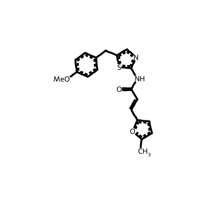 COc1ccc(Cc2cnc(NC(=O)/C=C/c3ccc(C)o3)s2)cc1